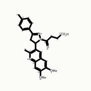 COc1cc2cc(C3CC(c4ccc(C)cc4)=NN3C(=O)CCC(=O)O)c(C)nc2cc1OC